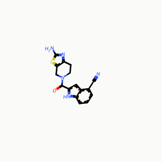 N#Cc1cccc2[nH]c(C(=O)N3CCc4nc(N)sc4C3)cc12